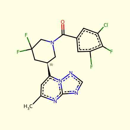 Cc1cc([C@@H]2CN(C(=O)c3cc(F)c(F)c(Cl)c3)CC(F)(F)C2)n2ncnc2n1